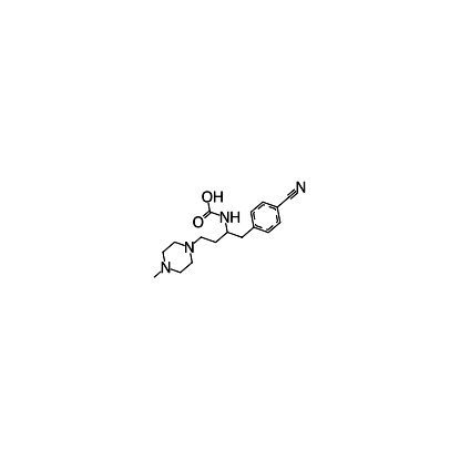 CN1CCN(CCC(Cc2ccc(C#N)cc2)NC(=O)O)CC1